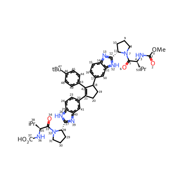 COC(=O)N[C@H](C(=O)N1CCC[C@H]1c1nc2ccc(C3CCC(c4ccc5[nH]c([C@@H]6CCCN6C(=O)[C@@H](NC(=O)O)C(C)C)nc5c4)=C3c3ccc(C(C)(C)C)cc3)cc2[nH]1)C(C)C